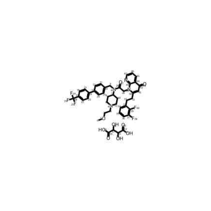 COCCN1CCC(N(Cc2ccc(-c3ccc(C(F)(F)F)cc3)cc2)C(=O)Cn2c(CCc3cccc(F)c3F)cc(=O)c3cccnc32)CC1.O=C(O)C(O)C(O)C(=O)O